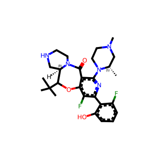 C[C@H]1CN(C)CCN1c1nc(-c2c(O)cccc2F)c(F)c2c1C(=O)N1CCNC[C@@H]1C(C(C)(C)C)O2